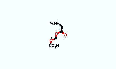 CC(=O)NCC(=O)OCOC(=O)O